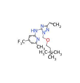 C=Cc1nc(Nc2cc(C(F)(F)F)cc(C)n2)n(COCC[Si](C)(C)C)n1